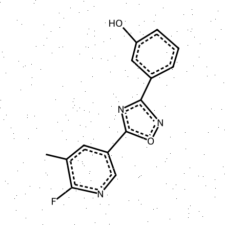 Cc1cc(-c2nc(-c3cccc(O)c3)no2)cnc1F